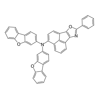 c1ccc(-c2nc3c(o2)-c2ccc(N(c4ccc5c(c4)oc4ccccc45)c4ccc5c(c4)oc4ccccc45)c4cccc-3c24)cc1